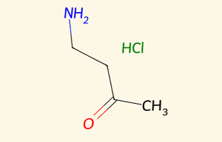 CC(=O)CCN.Cl